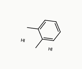 Cc1ccccc1C.I.I